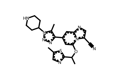 Cc1cnc(C(C)Oc2cc(-c3nnn(C4CCNCC4)c3C)cc3ncc(C#N)n23)s1